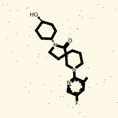 Cc1cc(F)cnc1N1CCCC2(CCN([C@H]3CC[C@H](O)CC3)C2=O)C1